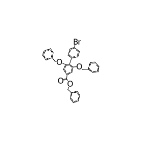 O=C(OCc1ccccc1)c1cc(OCc2ccccc2)c(-c2ccc(Br)cc2)c(OCc2ccccc2)c1